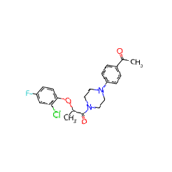 CC(=O)c1ccc(N2CCN(C(=O)C(C)Oc3ccc(F)cc3Cl)CC2)cc1